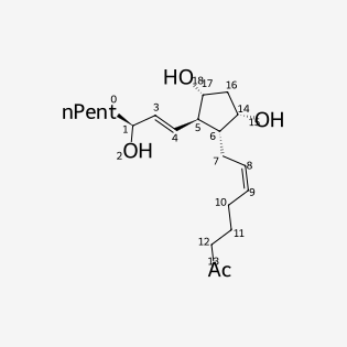 CCCCC[C@H](O)/C=C/[C@@H]1[C@@H](C/C=C\CCCC(C)=O)[C@@H](O)C[C@H]1O